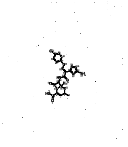 CC1C=C(C(=O)O)N2C(=O)C(NC(=O)C(=NOc3ccc(Cl)cc3)c3nsc(N)n3)[C@@H]2S1